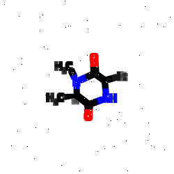 CCC1NC(=O)[C@@H](C)N(C)C1=O